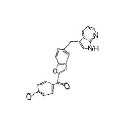 O=C(c1ccc(Cl)cc1)c1cc2cc(Cc3c[nH]c4ncccc34)ccc2o1